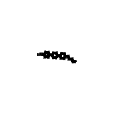 CCCc1ccc(C2CCC(C3CCC(CC/C=C/F)CC3)CC2)cc1